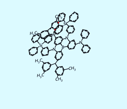 Cc1cc(C)cc(C(c2cc(C)cc(C)c2)c2ccc3c(c2)N(c2cccc([Si](c4ccccc4)(c4ccccc4)c4ccccc4)c2)c2cc(-n4c5ccc(C)cc5c5cc(C)ccc54)cc4c2B3c2ccc(N(c3ccccc3)c3ccccc3)cc2N4c2cccc([Si](c3ccccc3)(c3ccccc3)c3ccccc3)c2)c1